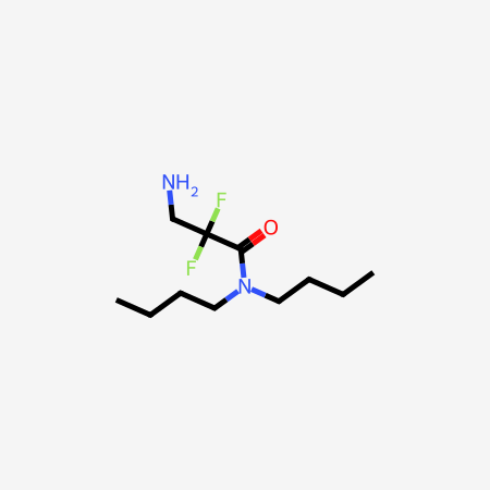 CCCCN(CCCC)C(=O)C(F)(F)CN